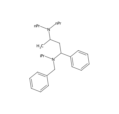 CCCN(CCC)C(C)CC(c1ccccc1)N(Cc1ccccc1)C(C)C